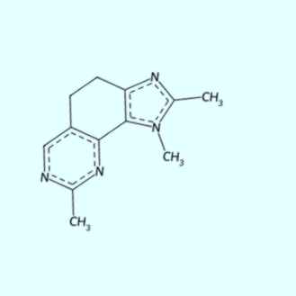 Cc1ncc2c(n1)-c1c(nc(C)n1C)CC2